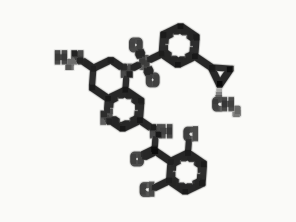 C[C@H]1CC1c1cccc(S(=O)(=O)N2CC(N)Cc3ncc(NC(=O)c4c(Cl)cccc4Cl)cc32)c1